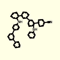 N#Cc1ccc(-c2cc(-c3cccc(-c4ccccc4Nc4ccc(-c5cccc(-c6ccccc6)c5)cc4)c3)ccc2Nc2ccccc2)cc1